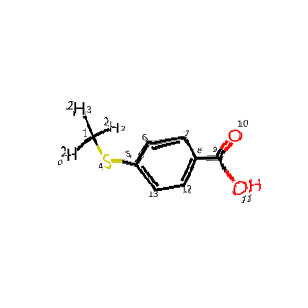 [2H]C([2H])([2H])Sc1ccc(C(=O)O)cc1